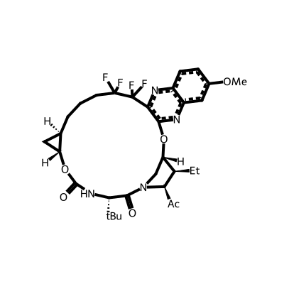 CC[C@@H]1[C@@H]2CN(C(=O)[C@H](C(C)(C)C)NC(=O)O[C@@H]3C[C@H]3CCCC(F)(F)C(F)(F)c3nc4ccc(OC)cc4nc3O2)[C@@H]1C(C)=O